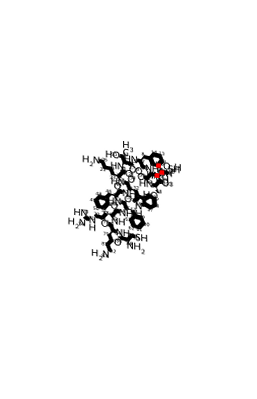 C[C@@H](O)[C@H](NC(=O)[C@H](Cc1ccccc1)NC(=O)[C@@H](NC(=O)[C@H](CCCCN)NC(=O)[C@@H](Cc1c[nH]c2ccccc12)NC(=O)[C@H](Cc1ccccc1)NC(=O)[C@H](Cc1ccccc1)NC(=O)[C@@H](CCCNC(=N)N)NC(=O)[C@H](CCCCN)NC(=O)[C@@H](N)CS)[C@@H](C)O)C(=O)N[C@@H](CO)C(=O)N[C@@H](CS)C(=O)O